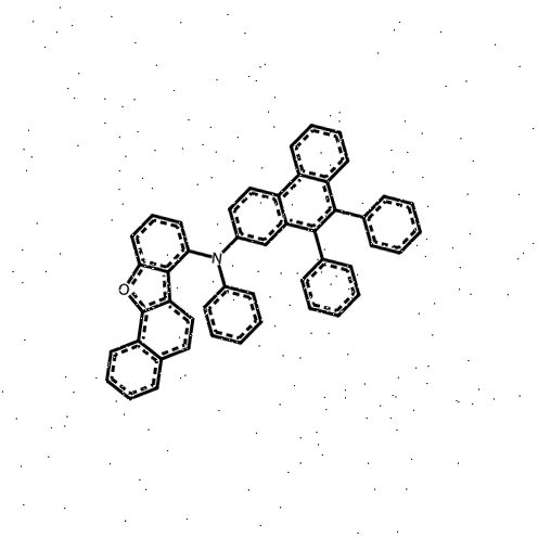 c1ccc(-c2c(-c3ccccc3)c3cc(N(c4ccccc4)c4cccc5oc6c7ccccc7ccc6c45)ccc3c3ccccc23)cc1